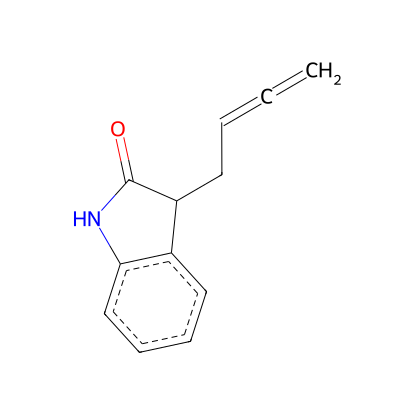 C=C=CCC1C(=O)Nc2ccccc21